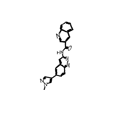 Cn1cc(-c2ccc3nnc(NC(=O)c4cnc5ccccc5c4)cc3c2)cn1